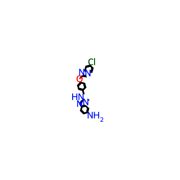 Cn1c(NCc2ccc(Oc3cn4ccc(Cl)cc4n3)cc2)nc2ccc(N)cc21